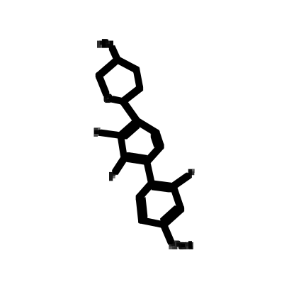 CCCCCc1ccc(-c2ccc(C3CCC(CCCC)CO3)c(F)c2F)c(F)c1